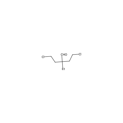 CCC(C=O)(CCCl)CCCl